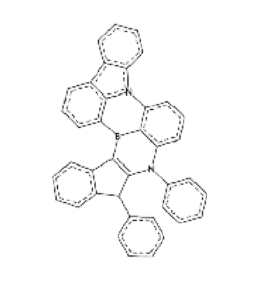 c1ccc(C2C3=C(B4c5c(cccc5-n5c6ccccc6c6cccc4c65)N3c3ccccc3)c3ccccc32)cc1